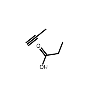 C#CC.CCC(=O)O